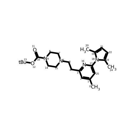 Cc1cc(CCN2CCN(C(=O)OC(C)(C)C)CC2)nc(-n2c(C)ccc2C)c1